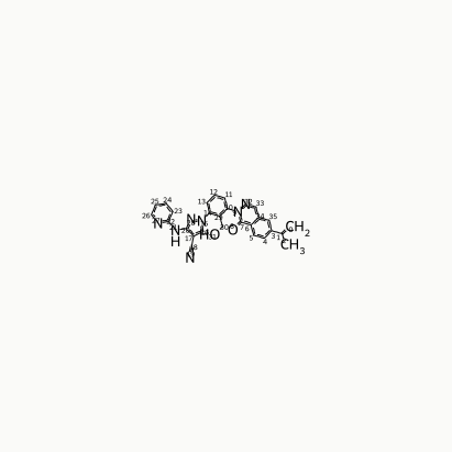 C=C(C)c1ccc2c(=O)n(-c3cccc(-n4cc(C#N)c(Nc5ccccn5)n4)c3CO)ncc2c1